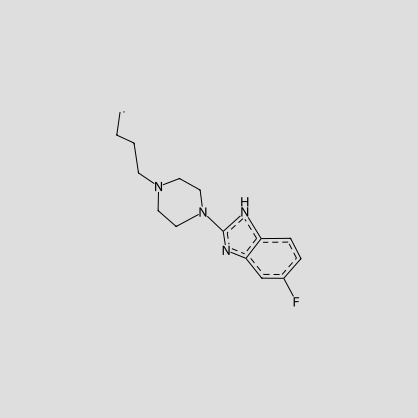 [CH2]CCCN1CCN(c2nc3cc(F)ccc3[nH]2)CC1